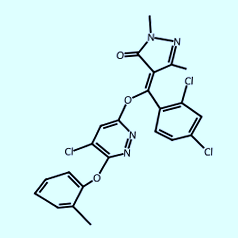 CC1=NN(C)C(=O)C1=C(Oc1cc(Cl)c(Oc2ccccc2C)nn1)c1ccc(Cl)cc1Cl